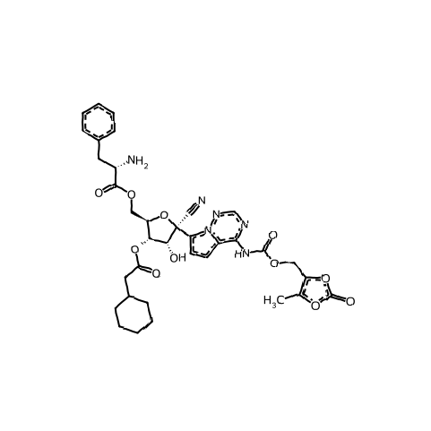 Cc1oc(=O)oc1COC(=O)Nc1ncnn2c([C@]3(C#N)O[C@H](COC(=O)[C@@H](N)Cc4ccccc4)[C@@H](OC(=O)CC4CCCCC4)[C@H]3O)ccc12